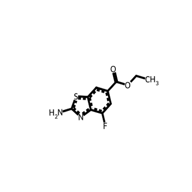 CCOC(=O)c1cc(F)c2nc(N)sc2c1